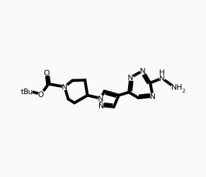 CC(C)(C)OC(=O)N1CCC(n2cc(-c3cnc(NN)nn3)cn2)CC1